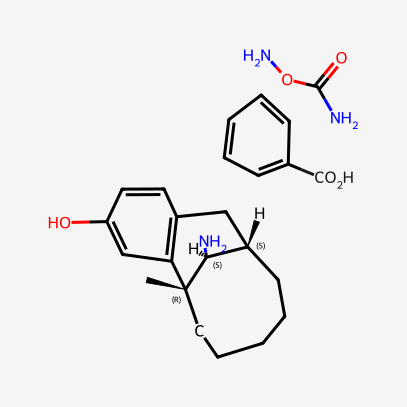 C[C@@]12CCCCC[C@@H](Cc3ccc(O)cc31)[C@@H]2N.NOC(N)=O.O=C(O)c1ccccc1